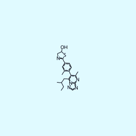 CCC(C)Cc1c(-c2ccc(C3=NCC(O)S3)cc2C)c(C)nc2ncnn12